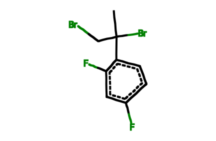 CC(Br)(CBr)c1ccc(F)cc1F